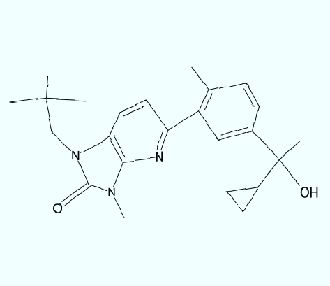 Cc1ccc(C(C)(O)C2CC2)cc1-c1ccc2c(n1)n(C)c(=O)n2CC(C)(C)C